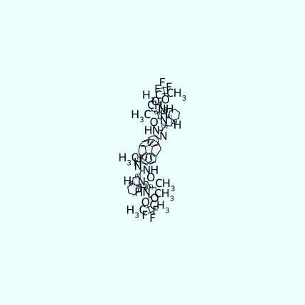 CC(C)[C@H](NC(=O)OC(C)(C)C(F)(F)F)C(=O)N1[C@H](c2nc3cc(-c4cc5ccc4CCc4ccc(c(-c6ccc7[nH]c([C@@H]8C[C@@H]9CCCC[C@@H]9N8C(=O)[C@@H](NC(=O)OC(C)(C)C(F)(F)F)C(C)C)nc7c6)c4)C[C@H]5C)ccc3[nH]2)C[C@@H]2CCCC[C@@H]21